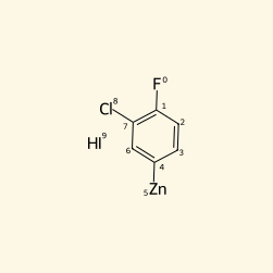 Fc1cc[c]([Zn])cc1Cl.I